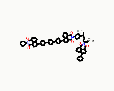 CCC(CCC(CC)N1C(=O)c2cccc3c(-c4ccccc4)ccc(c23)C1=O)C1CCC(N2C(=O)c3cccc4c(-c5ccc(-c6ccc(-c7ccc(-c8ccc9c%10c(cccc8%10)C(=O)N(C8CCCCC8)C9=O)cc7)cc6)cc5)ccc(c34)C2=O)CC1